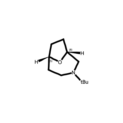 CC(C)(C)N1CC[C@@H]2CC[C@H](C1)O2